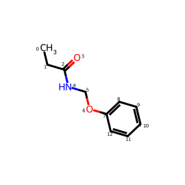 CCC(=O)NCOc1cc[c]cc1